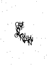 O=C(c1cnc(NC2(c3cncnc3)CC2)nc1)N1C[C@@H](CO)[C@H](C(F)(F)F)C1